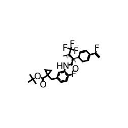 C=C(F)C1=CCC([C@@H](C(=O)Nc2cc(CC3(C(=O)OC(C)(C)C)CC3)ccc2F)[C@@H](C)C(F)(F)F)C=C1